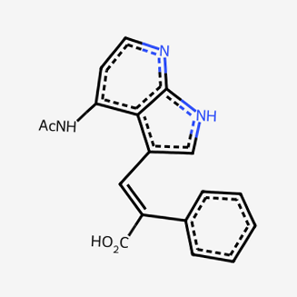 CC(=O)Nc1ccnc2[nH]cc(C=C(C(=O)O)c3ccccc3)c12